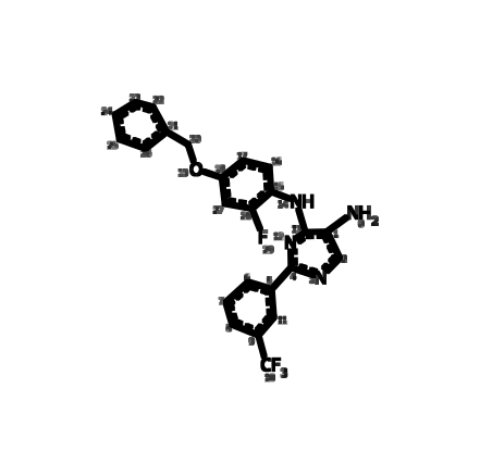 Nc1cnc(-c2cccc(C(F)(F)F)c2)nc1Nc1ccc(OCc2ccccc2)cc1F